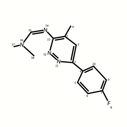 Cc1cc(-c2ccc(F)cc2)nnc1/N=C\N(C)C